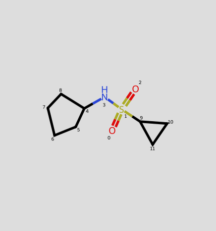 O=S(=O)(NC1CCCC1)C1CC1